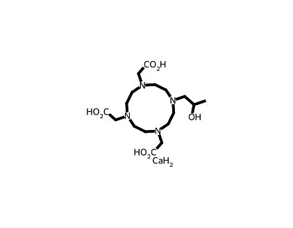 CC(O)CN1CCN(CC(=O)O)CCN(CC(=O)O)CCN(CC(=O)O)CC1.[CaH2]